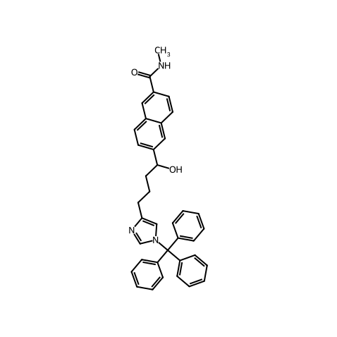 CNC(=O)c1ccc2cc(C(O)CCCc3cn(C(c4ccccc4)(c4ccccc4)c4ccccc4)cn3)ccc2c1